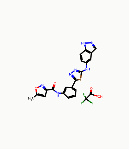 Cc1cc(C(=O)Nc2cccc(-c3nnc(Nc4ccc5[nH]ncc5c4)s3)c2)no1.O=C(O)C(F)(F)F